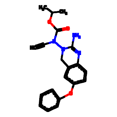 C#CN(C(=O)OC(C)C)N1Cc2cc(Oc3ccccc3)ccc2N=C1N